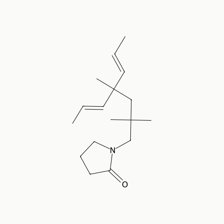 CC=CC(C)(C=CC)CC(C)(C)CN1CCCC1=O